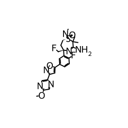 CN=[S@]1(=O)CC[C@@](CF)(c2cc(-c3cc(-c4cnc(OC)cn4)no3)ccc2F)N=C(N)C1(C)C